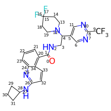 O=C(NCC(c1cnc(C(F)(F)F)nc1)N1CCC(F)(F)CC1)c1cccc2nc(NC3CCC3)ccc12